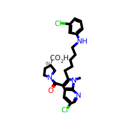 Cn1c(CCCCCNc2cccc(Cl)c2)c(C(=O)N2CC[C@H](C(=O)O)C2)c2cc(Cl)cnc21